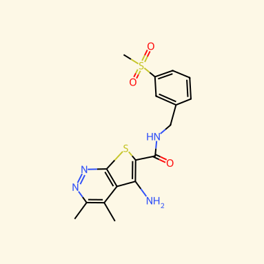 Cc1nnc2sc(C(=O)NCc3cccc(S(C)(=O)=O)c3)c(N)c2c1C